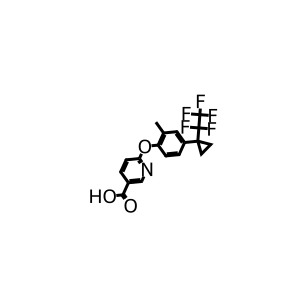 Cc1cc(C2(C(F)(F)C(F)(F)F)CC2)ccc1Oc1ccc(C(=O)O)cn1